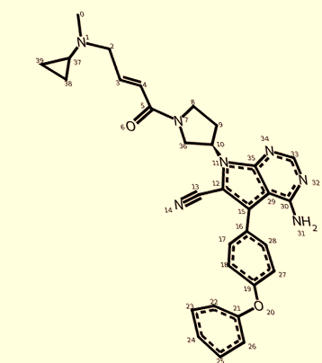 CN(CC=CC(=O)N1CC[C@@H](n2c(C#N)c(-c3ccc(Oc4ccccc4)cc3)c3c(N)ncnc32)C1)C1CC1